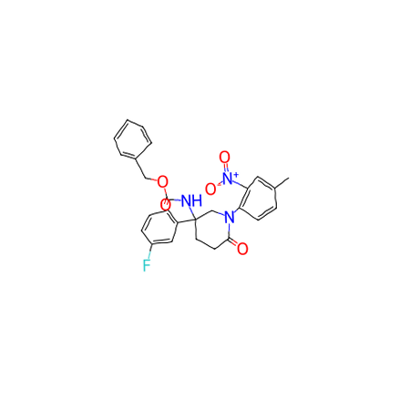 Cc1ccc(N2CC(NC(=O)OCc3ccccc3)(c3cccc(F)c3)CCC2=O)c([N+](=O)[O-])c1